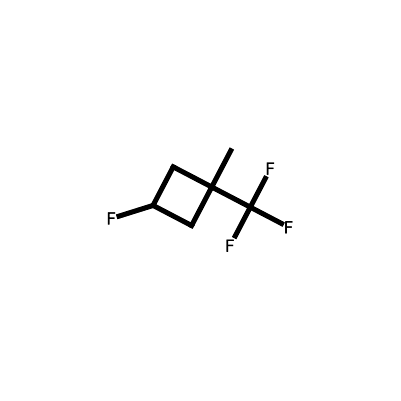 CC1(C(F)(F)F)CC(F)C1